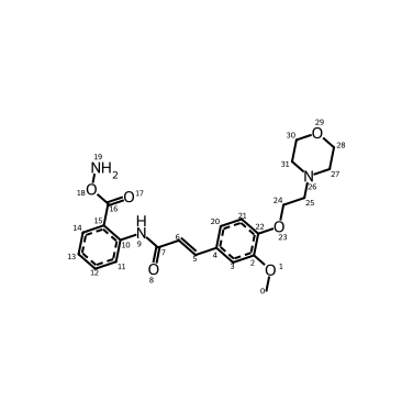 COc1cc(/C=C/C(=O)Nc2ccccc2C(=O)ON)ccc1OCCN1CCOCC1